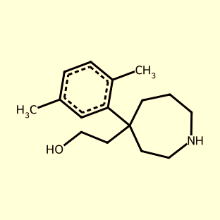 Cc1ccc(C)c(C2(CCO)CCCNCC2)c1